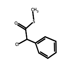 CSC(=O)C(Cl)c1ccccc1